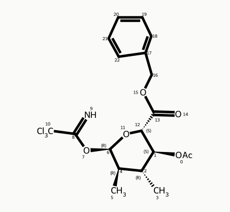 CC(=O)O[C@H]1[C@H](C)[C@@H](C)[C@@H](OC(=N)C(Cl)(Cl)Cl)O[C@@H]1C(=O)OCc1ccccc1